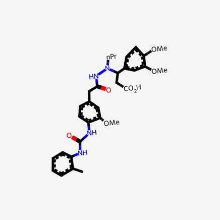 CCCN(NC(=O)Cc1ccc(NC(=O)Nc2ccccc2C)c(OC)c1)C(CC(=O)O)c1ccc(OC)c(OC)c1